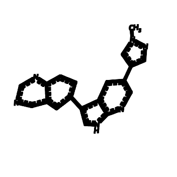 Cn1cc(-c2cnc3[nH]cc(-c4ccc5ncncc5c4)c3c2)cn1